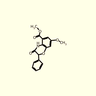 COC(=O)c1cc(OC)cc2c1NC(=O)C(c1ccccc1)O2